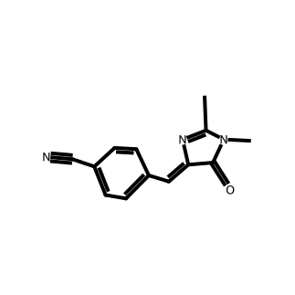 CC1=N/C(=C\c2ccc(C#N)cc2)C(=O)N1C